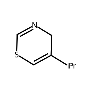 CC(C)C1=CSC=NC1